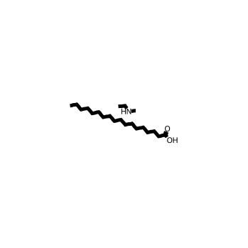 CCCCCCCCCCCCCCCCCC(=O)O.CCNC